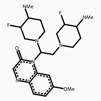 CNC1CCN(CC(N2CCC(NC)C(F)C2)n2c(=O)cnc3ccc(OC)cc32)CC1F